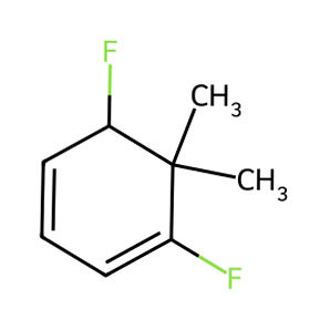 CC1(C)C(F)=CC=CC1F